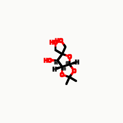 CC1(C)O[C@H]2OC(CO)(CO)[C@H](O)[C@H]2O1